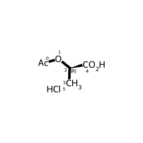 CC(=O)O[C@H](C)C(=O)O.Cl